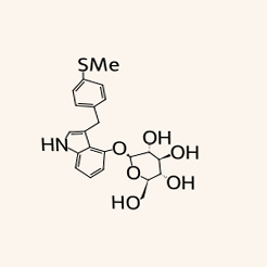 CSc1ccc(Cc2c[nH]c3cccc(O[C@@H]4O[C@H](CO)[C@@H](O)[C@H](O)[C@H]4O)c23)cc1